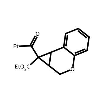 CCOC(=O)C1(C(=O)CC)C2COc3ccccc3C21